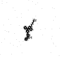 BrCCCCCCc1ccc(N(c2ccccc2)c2ccc(-c3ccc(Nc4ccccc4)cc3)cc2)c2ccccc12